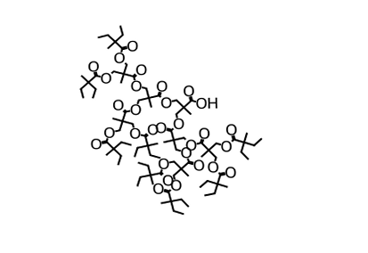 CCC(C)(CC)C(=O)OCC(C)(COC(=O)C(C)(CC)CC)C(=O)OCC(C)(COC(=O)C(C)(COC(=O)C(C)(CC)CC)COC(=O)C(C)(CC)CC)C(=O)OCC(C)(COC(=O)C(C)(COC(=O)C(C)(COC(=O)C(C)(CC)CC)COC(=O)C(C)(CC)CC)COC(=O)C(C)(COC(=O)C(C)(CC)CC)COC(=O)C(C)(CC)CC)C(=O)O